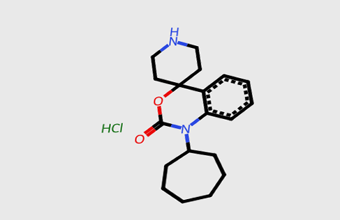 Cl.O=C1OC2(CCNCC2)c2ccccc2N1C1CCCCCC1